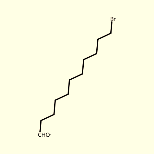 O=[C]CCCCCCCCCCBr